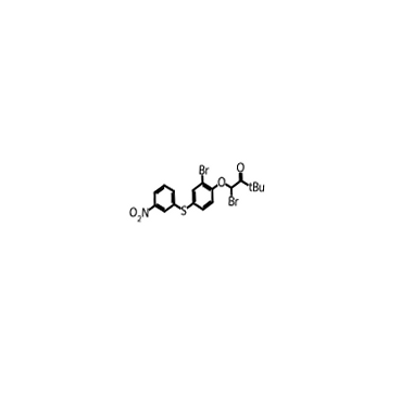 CC(C)(C)C(=O)C(Br)Oc1ccc(Sc2cccc([N+](=O)[O-])c2)cc1Br